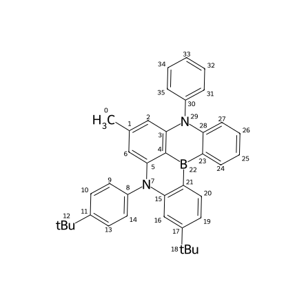 Cc1cc2c3c(c1)N(c1ccc(C(C)(C)C)cc1)c1cc(C(C)(C)C)ccc1B3c1ccccc1N2c1ccccc1